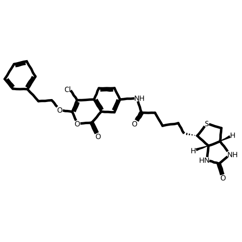 O=C(CCCC[C@@H]1SC[C@@H]2NC(=O)N[C@@H]21)Nc1ccc2c(Cl)c(OCCc3ccccc3)oc(=O)c2c1